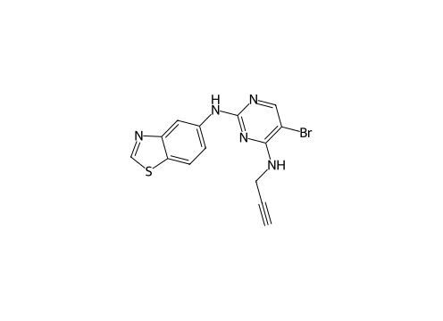 C#CCNc1nc(Nc2ccc3scnc3c2)ncc1Br